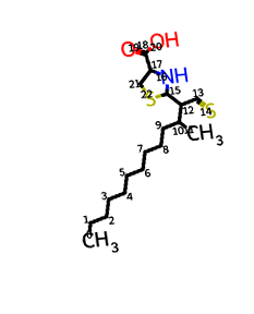 CCCCCCCCCCC(C)C(C=S)C1NC(C(=O)O)CS1